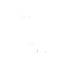 CCCCCOC=CCOC(C)=O